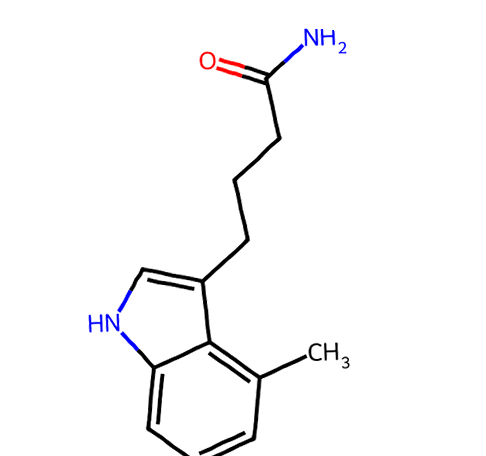 Cc1cccc2[nH]cc(CCCC(N)=O)c12